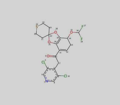 O=C(Cc1c(Cl)cncc1Cl)C1=CCC(OC(F)F)C2=C1OC1(CCSCC1)O2